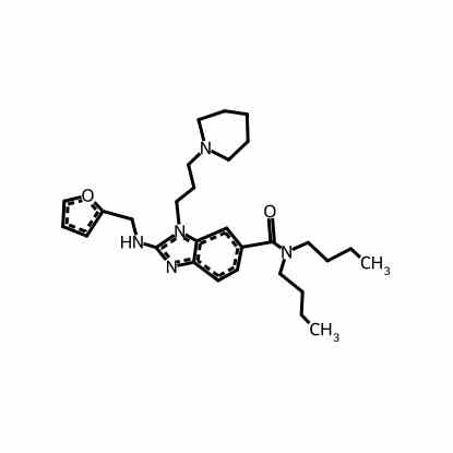 CCCCN(CCCC)C(=O)c1ccc2nc(NCc3ccco3)n(CCCN3CCCCC3)c2c1